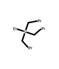 [CH2]C[Si](CC(C)C)(CC(C)C)CC(C)C